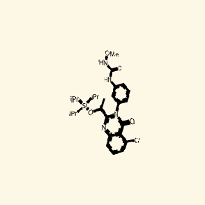 CONC(=O)Nc1cccc(-n2c(C(C)O[Si](C(C)C)(C(C)C)C(C)C)nc3cccc(Cl)c3c2=O)c1